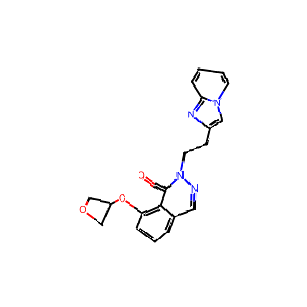 O=c1c2c(OC3COC3)cccc2cnn1CCc1cn2ccccc2n1